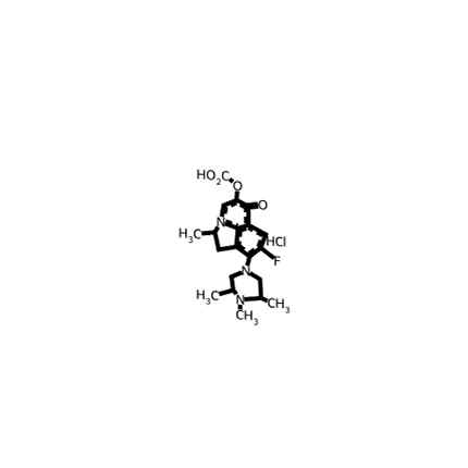 CC1CN(c2c(F)cc3c(=O)c(OC(=O)O)cn4c3c2CC4C)CC(C)N1C.Cl